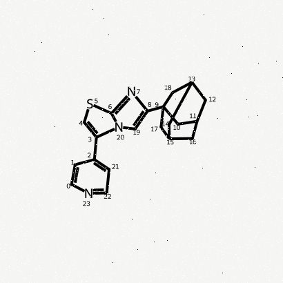 c1cc(-c2csc3nc(C45CC6CC(CC(C6)C4)C5)cn23)ccn1